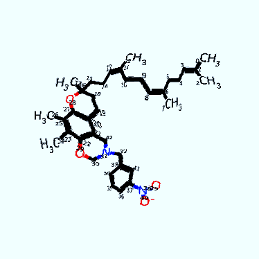 CC(C)=CCCC(C)=CCCC(C)=CCCC1(C)CCc2c3c(c(C)c(C)c2O1)OCN(Cc1cccc([N+](=O)[O-])c1)C3